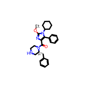 CCOc1nc(C(=O)N2CCNC[C@H]2Cc2ccccc2)c(-c2ccccc2)n1C1CCCCC1